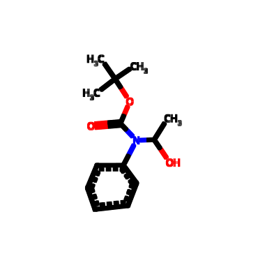 CC(O)N(C(=O)OC(C)(C)C)c1ccccc1